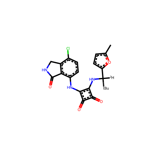 [2H]C(Nc1c(Nc2ccc(Cl)c3c2C(=O)NC3)c(=O)c1=O)(c1ccc(C)o1)C(C)(C)C